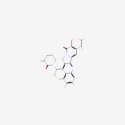 CC[C@]1(O)c2cc3n(c(=O)c2COC1O)Cc1c-3nc2cc(F)c(C)c3c2c1C(N1CCCC(O)C1=O)CS3